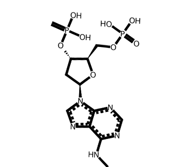 C=P(O)(O)O[C@H]1C[C@H](n2cnc3c(NC)ncnc32)O[C@@H]1COP(=O)(O)O